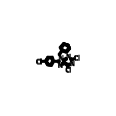 Clc1ccc(-c2nc3c(Cl)nc(Cl)nc3n2Cc2ccccc2)cc1